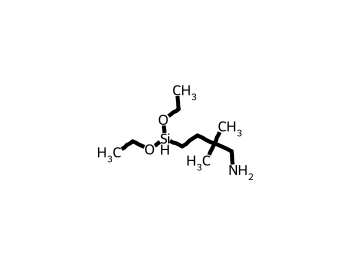 CCO[SiH](CCC(C)(C)CN)OCC